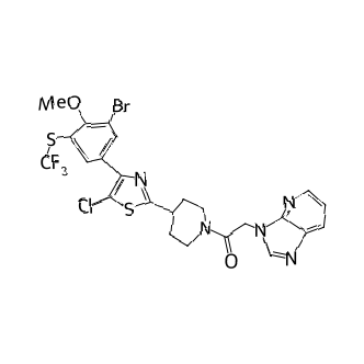 COc1c(Br)cc(-c2nc(C3CCN(C(=O)Cn4cnc5cccnc54)CC3)sc2Cl)cc1SC(F)(F)F